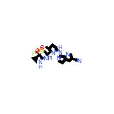 Cc1ccc(Nc2nccc3cc(C#N)cnc23)nc1[C@]1(C)CS(=O)(=O)[C@@](CF)(C2CC2)C(=N)N1